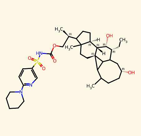 CC[C@@H]1C2C[C@H](O)CCC(C)C3C2[C@]32CCC3(C)C([C@H](C)COC(=O)NS(=O)(=O)c4ccc(N5CCCCC5)nc4)CC[C@H]3[C@@H]2[C@@H]1O